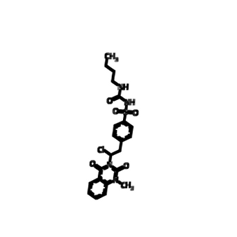 CCCCNC(=O)NS(=O)(=O)c1ccc(CC(Cl)n2c(=O)c3ccccc3n(C)c2=O)cc1